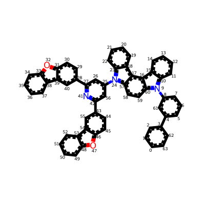 c1ccc(-c2cccc(-n3c4ccccc4c4c5c6ccccc6n(-c6cc(-c7ccc8oc9ccccc9c8c7)nc(-c7ccc8oc9ccccc9c8c7)c6)c5ccc43)c2)cc1